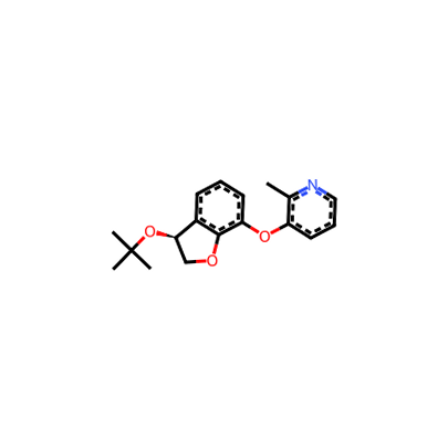 Cc1ncccc1Oc1cccc2c1OC[C@H]2OC(C)(C)C